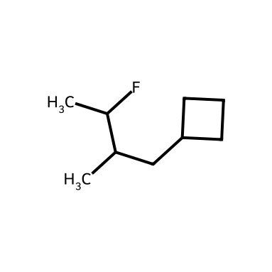 CC(F)C(C)CC1CCC1